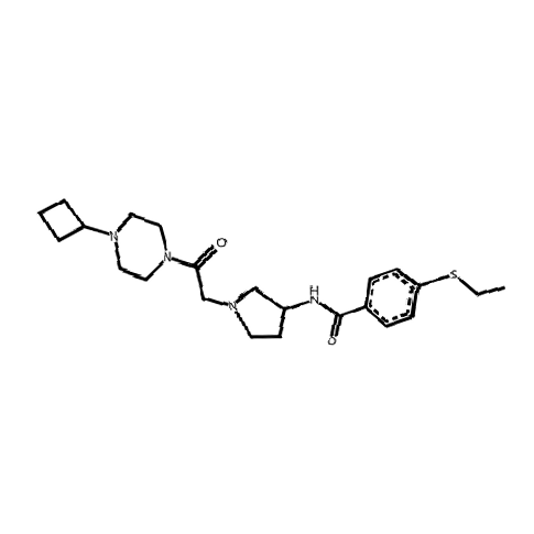 CCSc1ccc(C(=O)NC2CCN(CC(=O)N3CCN(C4CCC4)CC3)C2)cc1